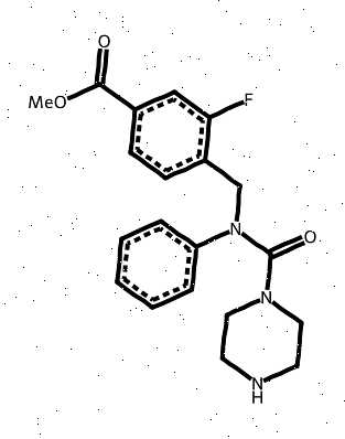 COC(=O)c1ccc(CN(C(=O)N2CCNCC2)c2ccccc2)c(F)c1